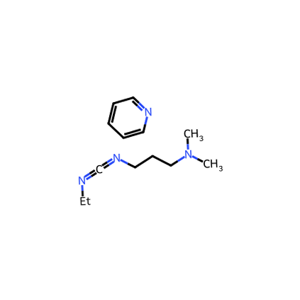 CCN=C=NCCCN(C)C.c1ccncc1